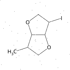 CC1COC2C(I)COC12